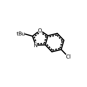 CC(C)(C)c1nc2cc(Cl)ccc2o1